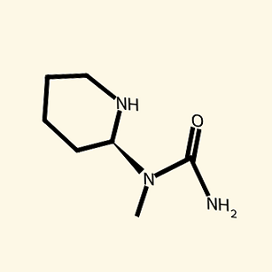 CN(C(N)=O)[C@H]1CCCCN1